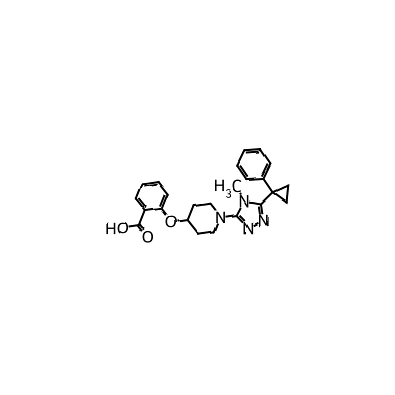 Cn1c(N2CCC(Oc3ccccc3C(=O)O)CC2)nnc1C1(c2ccccc2)CC1